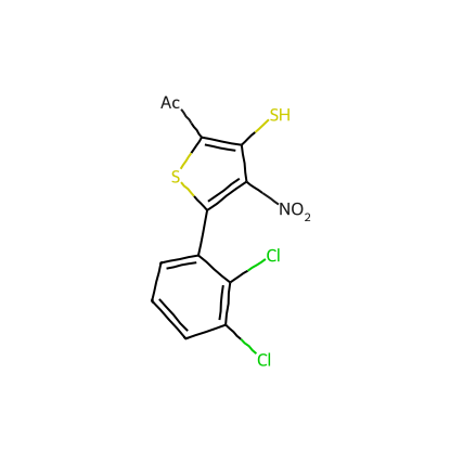 CC(=O)c1sc(-c2cccc(Cl)c2Cl)c([N+](=O)[O-])c1S